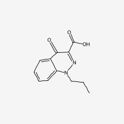 CCCn1nc(C(=O)O)c(=O)c2ccccc21